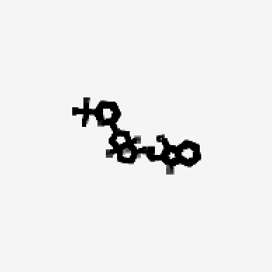 FC(F)(F)c1cccc(N2C[C@H]3CC[C@H](NCc4[nH]c5ccccc5c4Cl)[C@H]3C2)n1